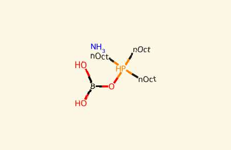 CCCCCCCC[PH](CCCCCCCC)(CCCCCCCC)OB(O)O.N